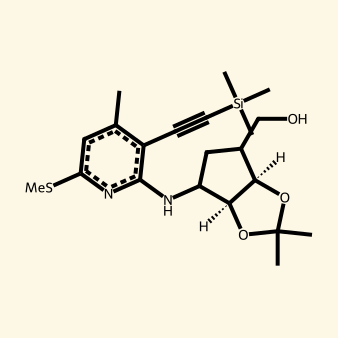 CSc1cc(C)c(C#C[Si](C)(C)C)c(NC2CC(CO)[C@H]3OC(C)(C)O[C@@H]23)n1